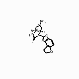 N[C@@H]1C[C@H]2NC(=O)N(c3nc4c5c(ccc4s3)OCC5)[C@H]2C1